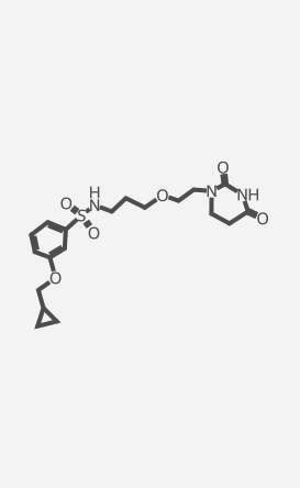 O=C1CCN(CCOCCCNS(=O)(=O)c2cccc(OCC3CC3)c2)C(=O)N1